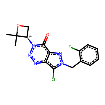 CC1(C)OC[C@H]1n1nnc2c(Cl)n(Cc3ccccc3F)nc2c1=O